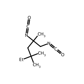 CCC(C)(C)CC(C)(CN=C=O)N=C=O